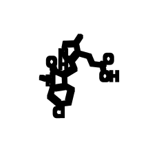 Cc1c[nH]c(/C=C2\C(=O)N(C)c3cc(Cl)ccc32)c1CCC(=O)O